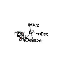 C1=Cc2cc3ccc(cc4nc(cc5ccc(cc1n2)[nH]5)C=C4)[nH]3.CCCCCCCCCCCCCCCCCCc1cc[n+](CCCCCCCCCCCCCCCCCC)c(CCCCCCCCCCCCCCCCCC)c1CCCCCCCCCCCCCCCCCC.[Zn+2]